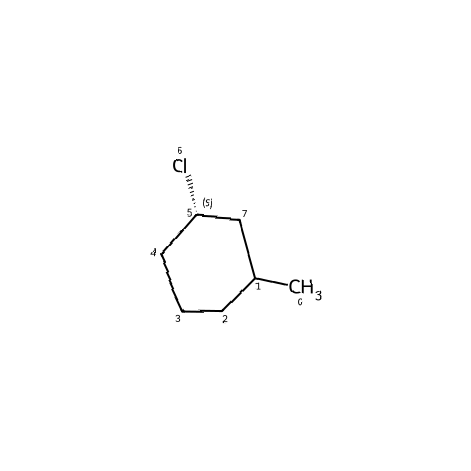 CC1CCC[C@H](Cl)C1